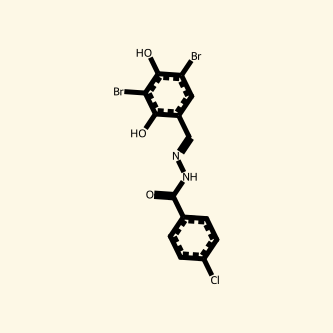 O=C(NN=Cc1cc(Br)c(O)c(Br)c1O)c1ccc(Cl)cc1